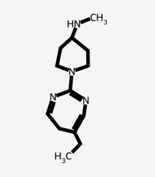 CCC1=CN=C(N2CCC(NC)CC2)N=CC1